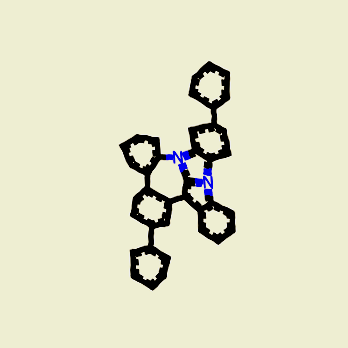 c1ccc(-c2ccc3c(c2)-c2c4ccccc4n4c5ccc(-c6ccccc6)cc5n(c24)-c2ccccc2-3)cc1